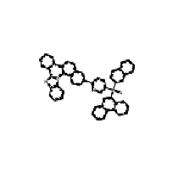 S=P(c1ccc(-c2ccc3c(ccc4c5ccccc5c5nc6ccccc6n5c34)c2)nc1)(c1ccc2ccccc2c1)c1cc2ccccc2c2ccccc12